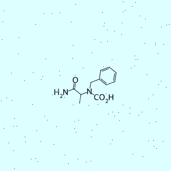 CC(C(N)=O)N(Cc1ccccc1)C(=O)O